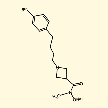 CON(C)C(=O)C1CN(CCCCc2ccc(C(C)C)cc2)C1